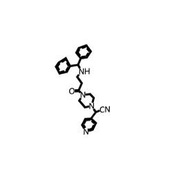 N#CC(c1ccncc1)N1CCN(C(=O)CCNC(c2ccccc2)c2ccccc2)CC1